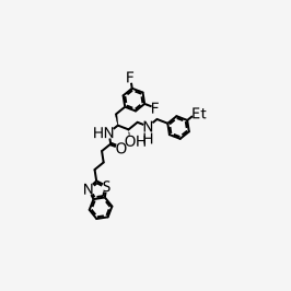 CCc1cccc(CNC[C@H](O)[C@H](Cc2cc(F)cc(F)c2)NC(=O)CCCc2nc3ccccc3s2)c1